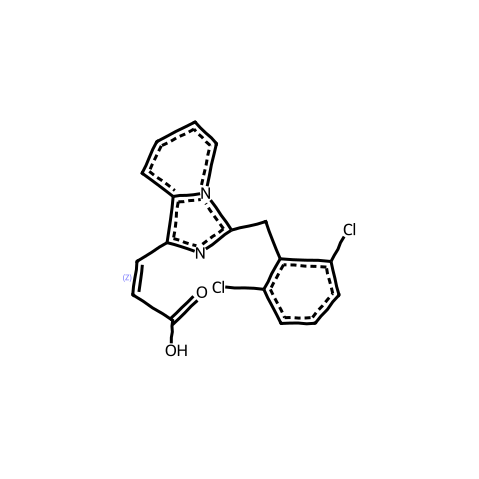 O=C(O)/C=C\c1nc(Cc2c(Cl)cccc2Cl)n2ccccc12